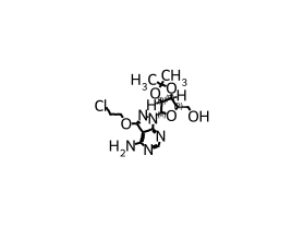 CC1(C)O[C@@H]2[C@H](O1)[C@@H](CO)O[C@H]2n1nc(OCCCl)c2c(N)ncnc21